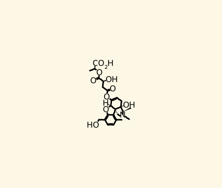 Cc1ccc(CO)c2c1[C@]13CCN(C)[C@H](C)[C@]1(O)CC=C(OC(=O)C[C@H](O)C(=O)O[C@@H](C)C(=O)O)[C@@H]3O2